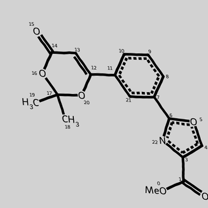 COC(=O)c1coc(-c2cccc(C3=CC(=O)OC(C)(C)O3)c2)n1